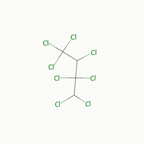 ClC(Cl)C(Cl)(Cl)C(Cl)C(Cl)(Cl)Cl